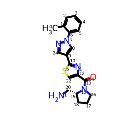 Cc1ccccc1-n1cc(-c2nc(C(=O)N3CCC[C@@H]3CN)cs2)cn1